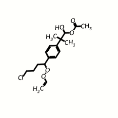 C=COOC(CCCCl)c1ccc(C(C)(C)C(O)OC(C)=O)cc1